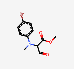 COC(=O)C(C=O)N(C)c1ccc(Br)cc1